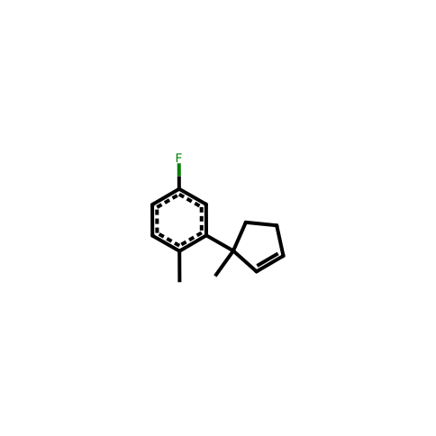 Cc1ccc(F)cc1C1(C)C=CCC1